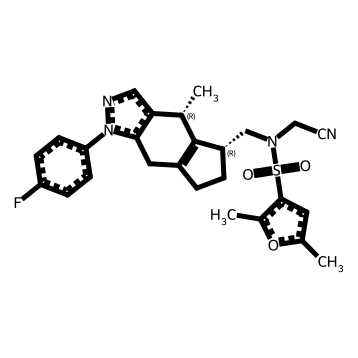 Cc1cc(S(=O)(=O)N(CC#N)C[C@@H]2CCC3=C2[C@@H](C)c2cnn(-c4ccc(F)cc4)c2C3)c(C)o1